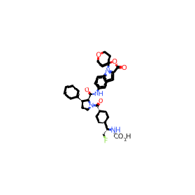 O=C(O)N[C@H](CF)[C@H]1CC[C@H](C(=O)N2CC[C@@H](C3CCCCC3)[C@H]2C(=O)Nc2ccc3c(c2)cc2n3C3(CCOCC3)OC2=O)CC1